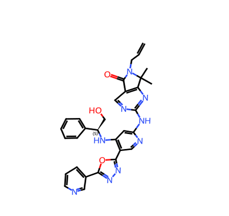 C=CCN1C(=O)c2cnc(Nc3cc(N[C@H](CO)c4ccccc4)c(-c4nnc(-c5cccnc5)o4)cn3)nc2C1(C)C